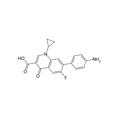 Nc1ccc(-c2cc3c(cc2F)c(=O)c(C(=O)O)cn3C2CC2)cc1